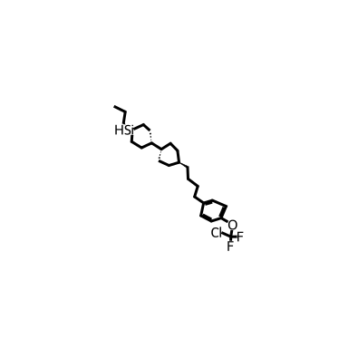 CCC[Si@H]1CC[C@H]([C@H]2CC[C@H](CCCCc3ccc(OC(F)(F)Cl)cc3)CC2)CC1